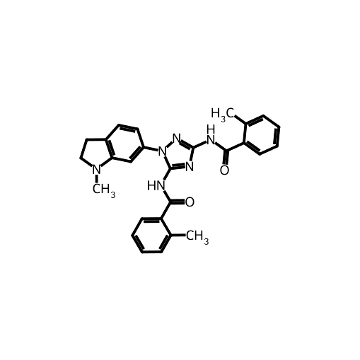 Cc1ccccc1C(=O)Nc1nc(NC(=O)c2ccccc2C)n(-c2ccc3c(c2)N(C)CC3)n1